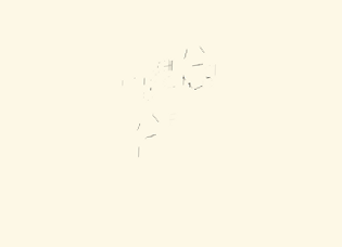 CC(C)(C)[Si](C)(C)OC(c1ccc(F)cc1F)C1CCC(=O)N(c2c(Cl)cccc2Cl)C1